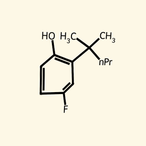 CCCC(C)(C)c1cc(F)ccc1O